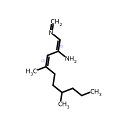 C=N/C=C(N)\C=C(\C)CCC(C)CCC